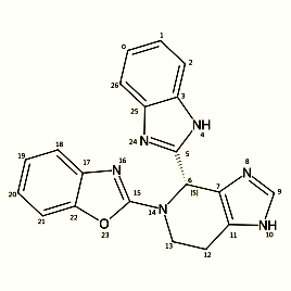 c1ccc2[nH]c([C@@H]3c4nc[nH]c4CCN3c3nc4ccccc4o3)nc2c1